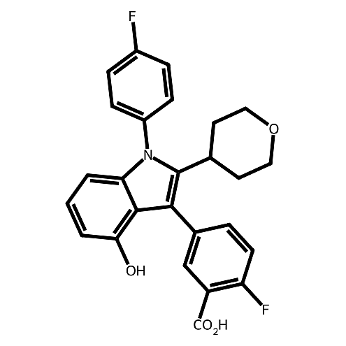 O=C(O)c1cc(-c2c(C3CCOCC3)n(-c3ccc(F)cc3)c3cccc(O)c23)ccc1F